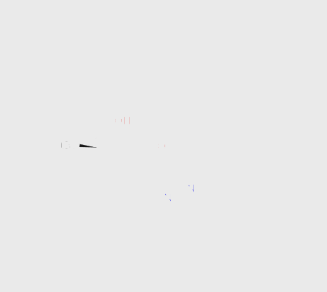 CC(C)(C)[C@@H](O)Cc1nnc(-c2ccccc2)o1